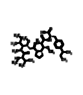 CCC(C)c1ccc(C[C@H](NC(=O)[C@H](C)[C@@H](OC)[C@@H]2CCCN2C(=O)C[C@@H](OC)[C@H]([C@@H](C)CC)N(C)C(=O)[C@@H](NC)C(C)C)C(=O)O)cc1